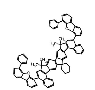 CC1(C)c2cc3c(cc2-c2c1cc(-c1cccc4c1oc1c(-c5ccccc5)cccc14)c1ccccc21)C1(CCCCC1)c1cc2c(cc1-3)C(C)(C)c1cc(-c3cccc4c3oc3c(-c5ccccc5)cccc34)c3ccccc3c1-2